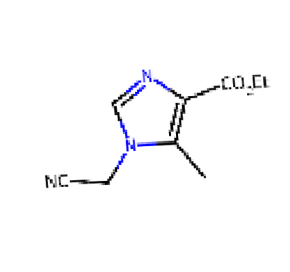 CCOC(=O)c1ncn(CC#N)c1C